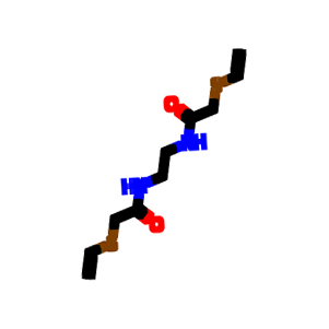 C=CSCC(=O)NCCNC(=O)CSC=C